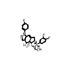 C[C@]12Cc3cnn(-c4ccc(F)cc4)c3C=C1CC[C@@H]2CN(CC#N)S(=O)(=O)c1ccc(F)c(F)c1